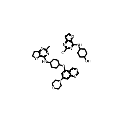 Cc1nc2c(c(NC3CCC(Oc4cc(N5CCOCC5)cc5ncncc45)CC3)n1)OCC2.OC1CCC(Nc2nc(Cl)nc3ccoc23)CC1